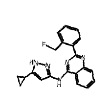 FCc1ccccc1-c1nc(Nc2cc(C3CC3)[nH]n2)c2ccccc2n1